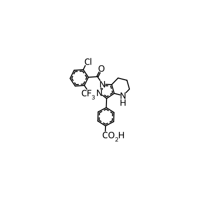 O=C(O)c1ccc(-c2nn(C(=O)c3c(Cl)cccc3C(F)(F)F)c3c2NCCC3)cc1